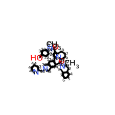 C[C@@H]1Cc2ccccc2CN1C(=O)c1cc2c(cc1-c1cc(C(=O)N(C)c3ccc(O)cc3)c3n1CCCC3)CN(Cc1ccccn1)C2